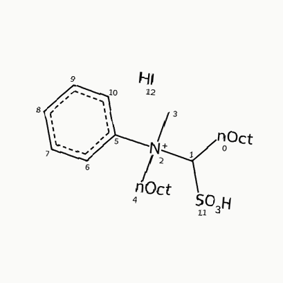 CCCCCCCCC([N+](C)(CCCCCCCC)c1ccccc1)S(=O)(=O)O.I